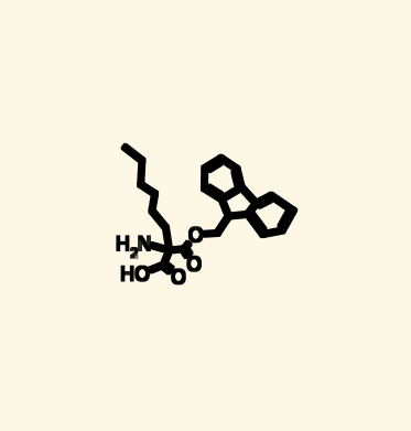 CCCCCCC(N)(C(=O)O)C(=O)OCC1c2ccccc2-c2ccccc21